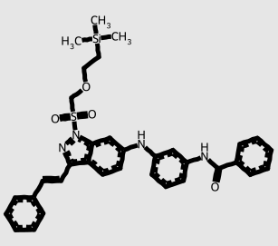 C[Si](C)(C)CCOCS(=O)(=O)n1nc(C=Cc2ccccc2)c2ccc(Nc3cccc(NC(=O)c4ccccc4)c3)cc21